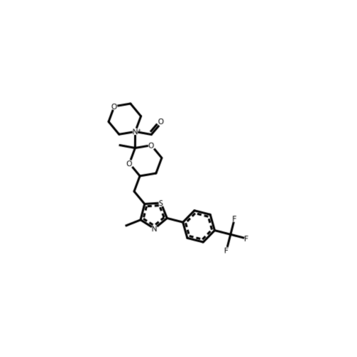 Cc1nc(-c2ccc(C(F)(F)F)cc2)sc1CC1CCOC(C)([N+]2(C=O)CCOCC2)O1